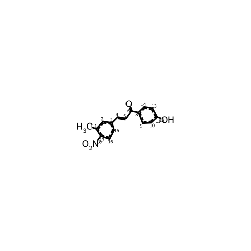 Cc1cc(C=CC(=O)c2ccc(O)cc2)ccc1[N+](=O)[O-]